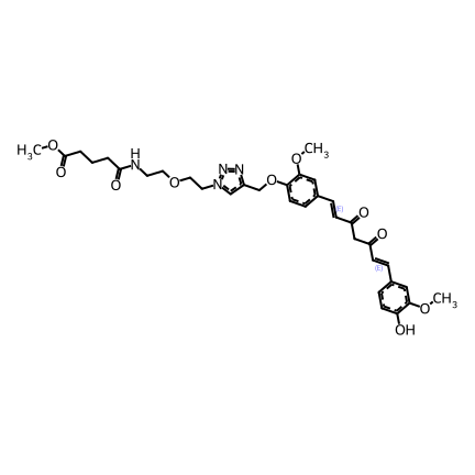 COC(=O)CCCC(=O)NCCOCCn1cc(COc2ccc(/C=C/C(=O)CC(=O)/C=C/c3ccc(O)c(OC)c3)cc2OC)nn1